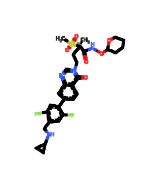 C[C@@](CCn1cnc2cc(-c3cc(F)c(CNC4CC4)cc3F)ccc2c1=O)(C(=O)NOC1CCCCO1)S(C)(=O)=O